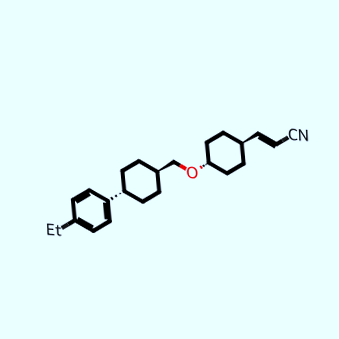 CCc1ccc([C@H]2CC[C@H](CO[C@H]3CC[C@H](C=CC#N)CC3)CC2)cc1